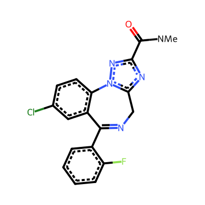 CNC(=O)c1nc2n(n1)-c1ccc(Cl)cc1C(c1ccccc1F)=NC2